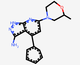 CC1CN(c2cc(-c3ccccc3)c3c(N)n[nH]c3n2)CCO1